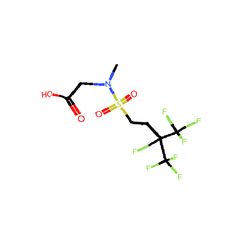 CN(CC(=O)O)S(=O)(=O)CCC(F)(C(F)(F)F)C(F)(F)F